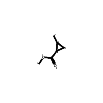 COC(=O)C1CC1C